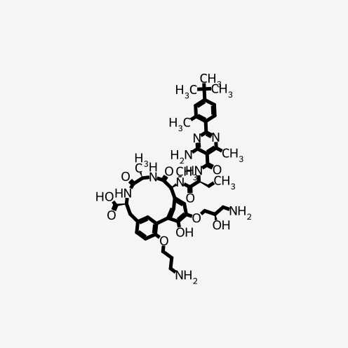 CC[C@H](NC(=O)c1c(C)nc(-c2ccc(C(C)(C)C)cc2C)nc1N)C(=O)N(C)[C@@H]1C(=O)N[C@@H](C)C(=O)N[C@H](C(=O)O)Cc2ccc(OCCCN)c(c2)-c2cc1cc(OC[C@H](O)CN)c2O